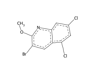 COc1nc2cc(Cl)cc(Cl)c2cc1Br